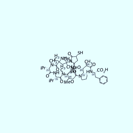 CC[C@H](C)[C@@H]([C@@H](CC(=O)N1CCC[C@H]1[C@H](OC)[C@@H](C)C(=O)N[C@@H](Cc1ccccc1)C(=O)O)OC)N(C)C(=O)[C@@H](NC(=O)[C@H](C(C)C)N(C)C(=O)C(C)(N)CC(C)(C)N1C(=O)CC(S)C1=O)C(C)C